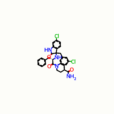 NC(=O)C1CCN(C(=O)[C@H](Cc2ccccc2)NC2(Cc3cccc(Cl)c3)C(=O)Nc3cc(Cl)ccc32)CC1